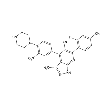 Cc1n[nH]c2nc(-c3ccc(O)cc3F)c(C#N)c(-c3ccc(N4CCNCC4)c([N+](=O)[O-])c3)c12